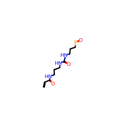 C=CC(=O)NCCCNC(=O)NCCCP=O